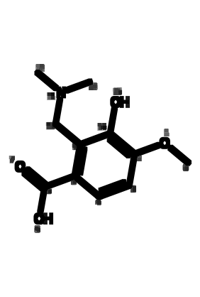 COc1ccc(C(=O)O)c(CN(C)C)c1O